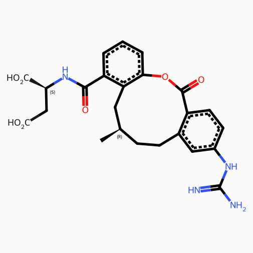 C[C@@H]1CCc2cc(NC(=N)N)ccc2C(=O)Oc2cccc(C(=O)N[C@@H](CC(=O)O)C(=O)O)c2C1